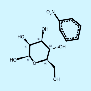 O=[N+]([O-])c1ccccc1.OC[C@H]1O[C@@H](O)[C@@H](O)[C@@H](O)[C@@H]1O